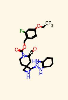 O=C=C1CC2(CCN1C(=O)OCc1ccc(OCC(F)(F)F)cc1F)CNC2N1NC2=C(CCCC2)N1